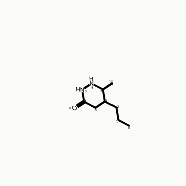 CCCC1CC(=O)NNC1C